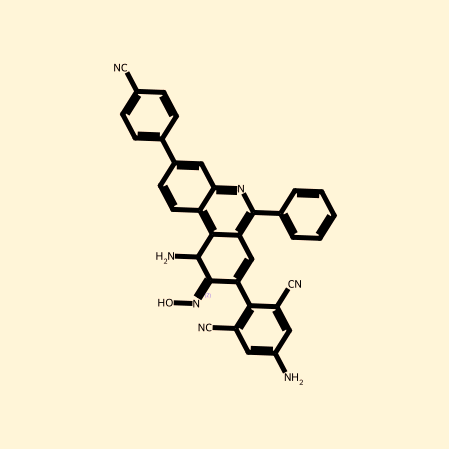 N#Cc1ccc(-c2ccc3c4c(c(-c5ccccc5)nc3c2)C=C(c2c(C#N)cc(N)cc2C#N)/C(=N/O)C4N)cc1